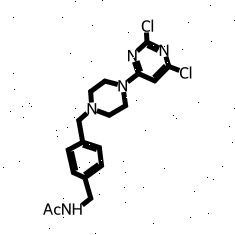 CC(=O)NCc1ccc(CN2CCN(c3cc(Cl)nc(Cl)n3)CC2)cc1